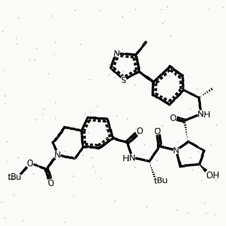 Cc1ncsc1-c1ccc([C@H](C)NC(=O)[C@@H]2C[C@@H](O)CN2C(=O)[C@@H](NC(=O)c2ccc3c(c2)CN(C(=O)OC(C)(C)C)CC3)C(C)(C)C)cc1